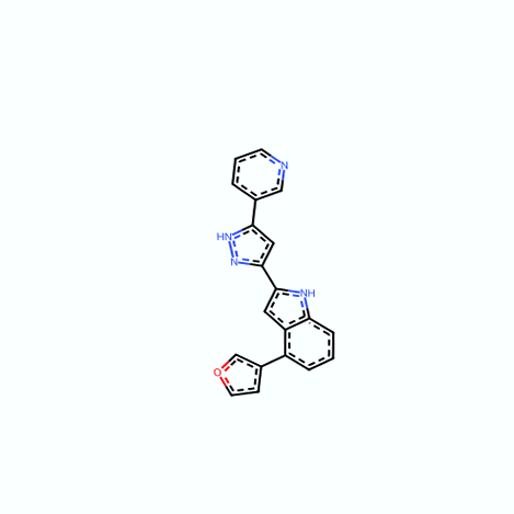 c1cncc(-c2cc(-c3cc4c(-c5ccoc5)cccc4[nH]3)n[nH]2)c1